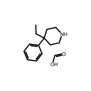 CCC1(c2ccccc2)CCNCC1.O=CO